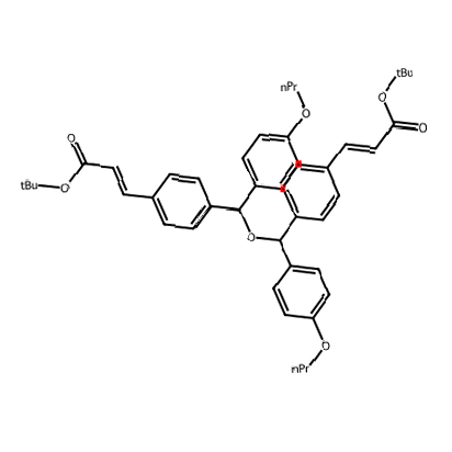 CCCOc1ccc(C(OC(c2ccc(C=CC(=O)OC(C)(C)C)cc2)c2ccc(OCCC)cc2)c2ccc(C=CC(=O)OC(C)(C)C)cc2)cc1